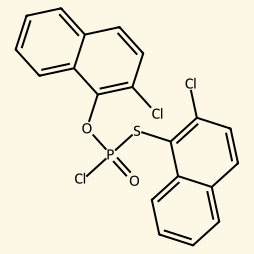 O=P(Cl)(Oc1c(Cl)ccc2ccccc12)Sc1c(Cl)ccc2ccccc12